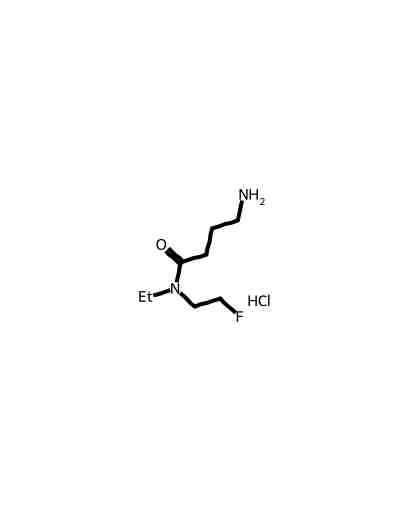 CCN(CCF)C(=O)CCCN.Cl